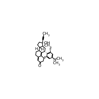 CC#C[C@]1(O)CC[C@H]2[C@@H]3CCC4=CC(=O)CCC4=C3[C@@H](c3c(F)cc(N(C)C)cc3F)C[C@@]21C